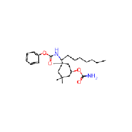 CCCCCCCC(NC(=O)Oc1ccccc1)C1(C)CC(OC(N)=O)CC(C)(C)C1